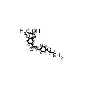 C=CCOc1ccc(/C=C/C(=O)c2ccc(OC(C)C(=O)O)cc2)cc1